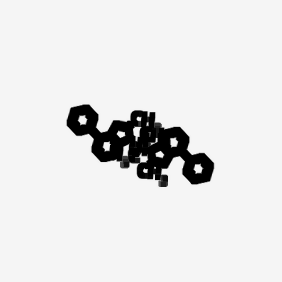 CC1=Cc2c(-c3ccccc3)cccc2[CH]1[Hf]([CH3])([CH3])[CH]1C(C)=Cc2c(-c3ccccc3)cccc21